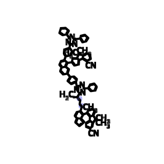 C=C/C(=C\C=C(/C)c1ccc2ccccc2c1-c1cccc2c1-c1ccc(C#N)cc1C2(C)C)c1nc(-c2ccccc2)nc(-c2ccc(-c3ccc4ccc(-c5ccc(-c6nc(-c7ccccc7)nc(-c7ccccc7)n6)cc5)c(-c5ccc6c(c5)C(C)(C)c5cccc(C#N)c5-6)c4c3)cc2)n1